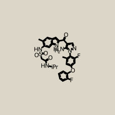 Cc1cc2cc(C(=O)c3cnn(-c4c(C)cc(Oc5ccccc5F)cc4F)c3N)[nH]c2cc1NS(=O)(=O)CC(=O)NC(C)C